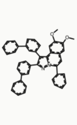 COc1cc2cc(-c3ccccc3)n3nc(-c4cccc(-c5ccccc5)c4)c(-c4cccc(-c5ccccc5)c4)c3c2cc1OC